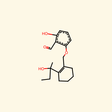 CCC(C)(O)C1=C(COc2cccc(O)c2C=O)CCCC1